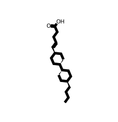 CCCC[C@H]1CC[C@H]([C@H]2CC[C@H](C=CCCC(=O)O)CC2)CC1